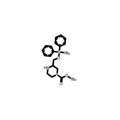 CC(C)(C)OC(=O)N1CCNC(CO[Si](c2ccccc2)(c2ccccc2)C(C)(C)C)C1